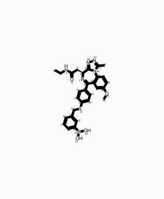 CCNC(=O)C[C@@H]1N=C(c2ccc(SCc3cccc(B(O)O)c3)cc2)c2cc(OC)ccc2-n2c(C)nnc21